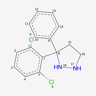 Clc1cccc(Cl)c1C1(c2ccccc2)CCNN1